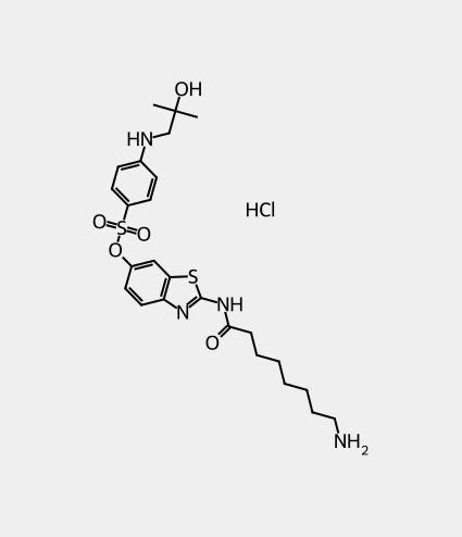 CC(C)(O)CNc1ccc(S(=O)(=O)Oc2ccc3nc(NC(=O)CCCCCCCN)sc3c2)cc1.Cl